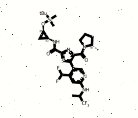 CC(Nc1cc(C(F)F)c(-c2sc(C(=O)N[C@H]3C[C@H]3O[Si](C)(C)C(C)(C)C)nc2C(=O)N2CCC[C@@H]2C)cn1)C(F)(F)F